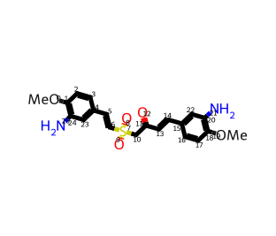 COc1ccc(C=CS(=O)(=O)CC(=O)/C=C/c2ccc(OC)c(N)c2)cc1N